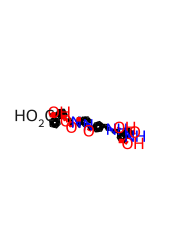 O=C(COc1cccc(C(O)(C(=O)O)c2ccccc2)c1)N1CC2(CCCN(C(=O)c3ccc(CCNCC(O)c4ccc(O)c5[nH]c(=O)ccc45)cc3)C2)C1